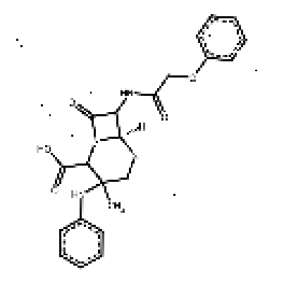 CC1(Nc2ccccc2)CS[C@@H]2C(NC(=O)COc3ccccc3)C(=O)N2C1C(=O)O